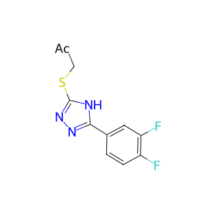 CC(=O)CSc1nnc(-c2ccc(F)c(F)c2)[nH]1